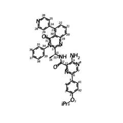 CC(C)Oc1ccc(-c2cnc(N)c(C(=O)N[C@@H](C)c3nc4cccc(-c5ccncc5)c4c(=O)n3-c3ccccc3)n2)cc1